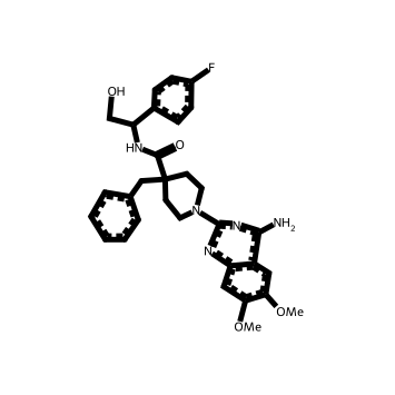 COc1cc2nc(N3CCC(Cc4ccccc4)(C(=O)NC(CO)c4ccc(F)cc4)CC3)nc(N)c2cc1OC